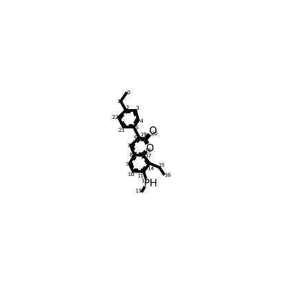 CCc1ccc(-c2cc3ccc(PC)c(CC)c3oc2=O)cc1